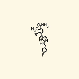 Cc1c(C(N)=O)ccc(-c2cnc3c(NCc4ccc(F)cc4)nccn23)c1C1CC1